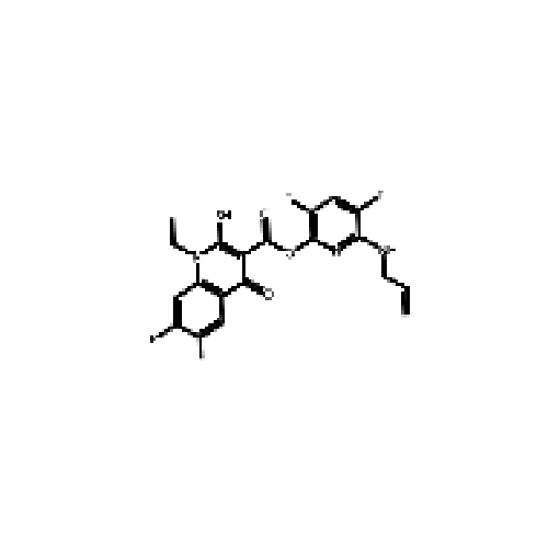 C=CCNc1nc(OC(=O)c2c(S)n(CC)c3cc(F)c(F)cc3c2=O)c(F)cc1F